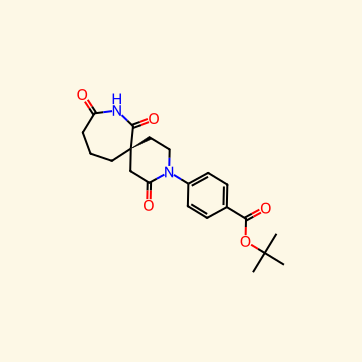 CC(C)(C)OC(=O)c1ccc(N2CC[C@]3(CCCC(=O)NC3=O)CC2=O)cc1